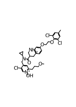 COCCCc1cc(CN(C(=O)C(CN)Cc2ccc(OCCOc3c(Cl)cc(C)cc3Cl)cc2)C2CC2)c(Cl)c[n+]1O